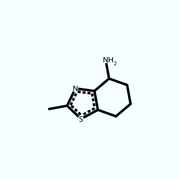 Cc1nc2c(s1)CCCC2N